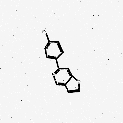 Brc1ccc(-c2cc3occc3cn2)cc1